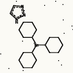 C1CC[CH]([Sn]([CH]2CCCCC2)[CH]2CCCCC2)CC1.c1c[nH]nn1